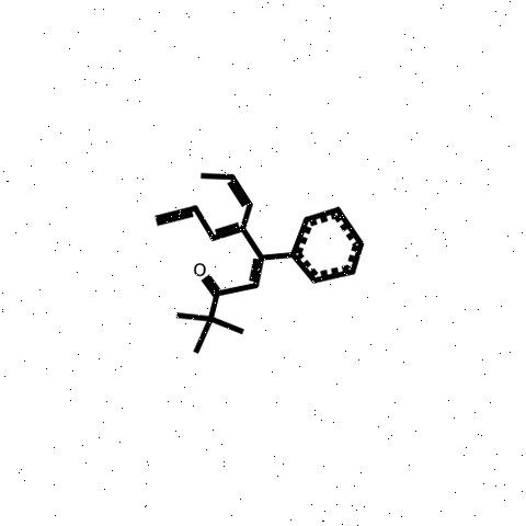 C=C/C=C(\C=C/C)C(=C\C(=O)C(C)(C)C)/c1ccccc1